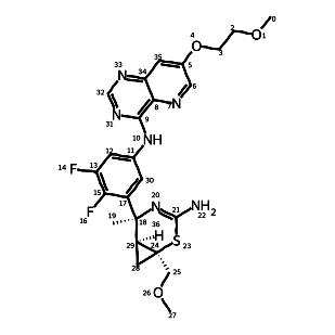 COCCOc1cnc2c(Nc3cc(F)c(F)c([C@@]4(C)N=C(N)S[C@@]5(COC)C[C@H]54)c3)ncnc2c1